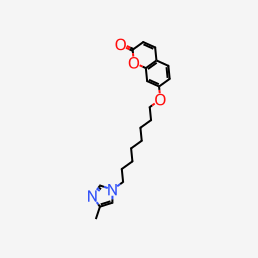 Cc1cn(CCCCCCCCOc2ccc3ccc(=O)oc3c2)cn1